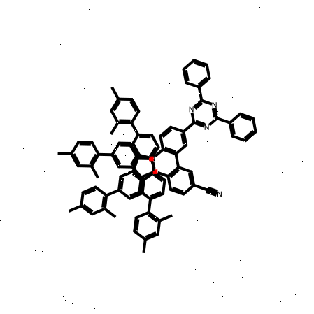 Cc1ccc(-c2ccc3c(c2)c2cc(-c4ccc(C)cc4C)ccc2n3-c2ccc(C#N)cc2-c2cc(-c3nc(-c4ccccc4)nc(-c4ccccc4)n3)ccc2-n2c3ccc(-c4ccc(C)cc4C)cc3c3cc(-c4ccc(C)cc4C)ccc32)c(C)c1